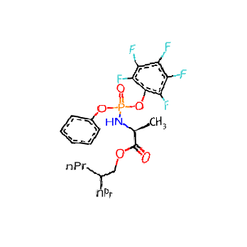 CCCC(CCC)COC(=O)[C@H](C)NP(=O)(Oc1ccccc1)Oc1c(F)c(F)c(F)c(F)c1F